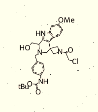 COc1ccc2c3c([nH]c2c1)C(CO)N(Cc1ccc(NC(=O)OC(C)(C)C)cc1)CC31CN(C(=O)CCl)C1